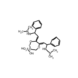 CN(C)NC(C=C1OCOCOC1=CC(NN(C)C)c1ccccc1)c1ccccc1.O=S(=O)(O)O